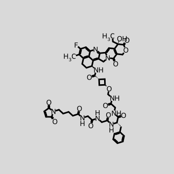 CC[C@@]1(O)C(=O)OCc2c1cc1n(c2=O)Cc2c-1nc1cc(F)c(C)c3c1c2[C@@H](NC(=O)[C@H]1C[C@@H](OCNC(=O)CNC(=O)[C@H](Cc2ccccc2)NC(=O)CNC(=O)CNC(=O)CCCCN2C(=O)C=CC2=O)C1)CC3